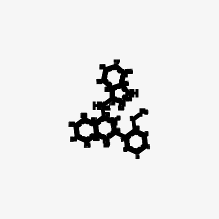 FCc1ccccc1-c1nc(Nc2n[nH]c3ncccc23)c2ccccc2n1